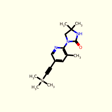 Cc1cc(C#C[Si](C)(C)C)cnc1N1CC(C)(C)NC1=O